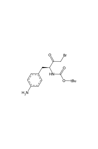 CC(C)(C)OC(=O)N[C@@H](Cc1ccc(N)cc1)C(=O)CBr